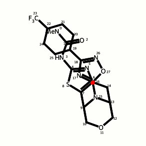 CNC(=O)Nc1nc2c(s1)C1COCC(C2)N1c1nc(C2CCC(C(F)(F)F)CC2)no1